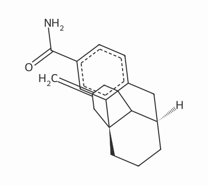 C=C1CCC2[C@@H]3CCC[C@@]2(C1)c1cc(C(N)=O)ccc1C3